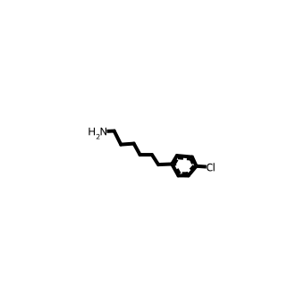 NCCCCCCc1ccc(Cl)cc1